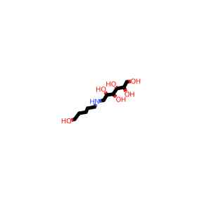 OCCCCCNCC(O)C(O)C(O)C(O)CO